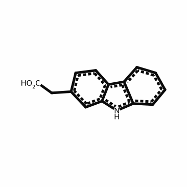 O=C(O)Cc1ccc2c(c1)[nH]c1ccccc12